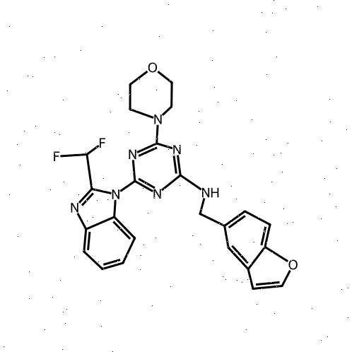 FC(F)c1nc2ccccc2n1-c1nc(NCc2ccc3occc3c2)nc(N2CCOCC2)n1